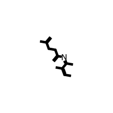 C=C(C)CCC(=C)/N=C(C)\C(C)=C/C